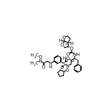 CON(C)C(=O)CNc1cccc(S(=O)(=O)N(C[C@@H](O)[C@H](Cc2ccccc2)NC(=O)O[C@@H]2CO[C@@H]3OCC[C@@H]32)OC2CCCC2)c1